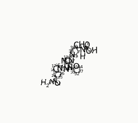 CC1(CNC(=O)O)CCN(c2cnc3c(N4CCCc5cc(C(N)=O)ccc54)nn(C4CCCCO4)c3n2)CC1